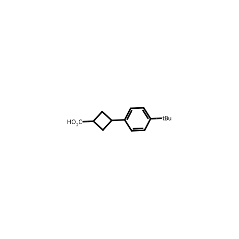 CC(C)(C)c1ccc(C2CC(C(=O)O)C2)cc1